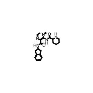 C=N/C(NC(=O)C1CCCCN1)=C(\N=C/C)C(=O)NC1Cc2ccccc2C1